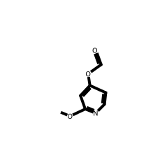 COc1cc(OC=O)ccn1